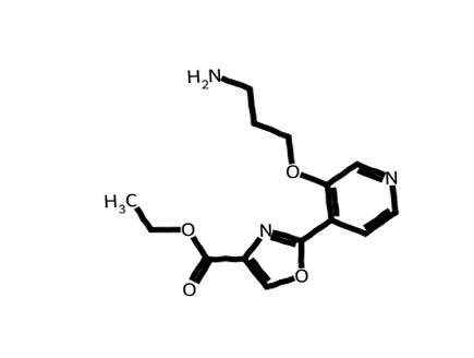 CCOC(=O)c1coc(-c2ccncc2OCCCN)n1